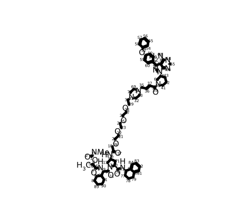 CNC(=O)OC(C)C(=O)NC(C(=O)N1C[C@@H](NC(=O)COCCOCCOCCOCCN2CCN(C/C=C/C(=O)N3CCC[C@@H](n4nc(-c5ccc(Oc6ccccc6)cc5)c5c(N)ncnc54)C3)CC2)C[C@H]1C(=O)N[C@@H]1CCCc2ccccc21)C1CCCCC1